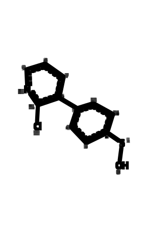 OSc1ccc(-c2cccnc2Cl)cc1